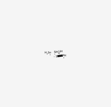 P=S.[LiH].[SiH4].[SnH2]